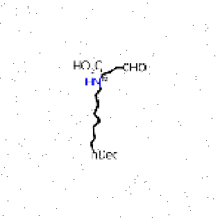 CCCCCCCCCCCCCCCCCCN[C@@H](CCC=O)C(=O)O